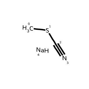 CSC#N.[NaH]